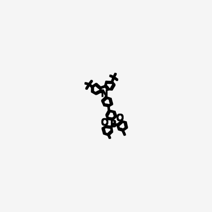 Cc1ccc2c(c1)B1c3cc(C)ccc3Oc3cc(-c4ccc(-n5c6ccc(C(C)(C)C)cc6c6cc(C(C)(C)C)ccc65)cc4)cc(c31)O2